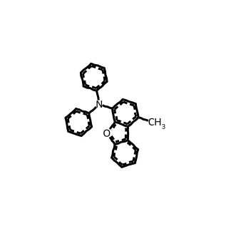 Cc1ccc(N(c2ccccc2)c2ccccc2)c2oc3ccccc3c12